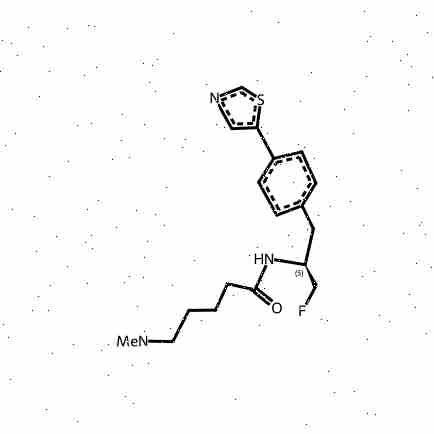 CNCCCCC(=O)N[C@H](CF)Cc1ccc(-c2cncs2)cc1